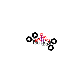 CC(C)(C)[Si](OCO[PH](=O)OCO[Si](c1ccccc1)(c1ccccc1)C(C)(C)C)(c1ccccc1)c1ccccc1